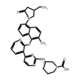 CCC1CC(=O)N(c2cccc3c(Oc4ncccc4-c4ccnc(N[C@H]5CCCN(C(=O)O)C5)n4)c(C)ccc23)C1